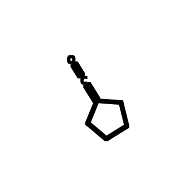 O=C=C1CCCC1